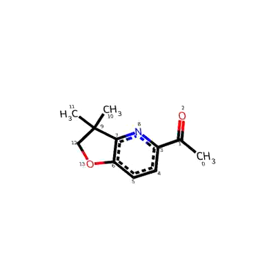 CC(=O)c1ccc2c(n1)C(C)(C)CO2